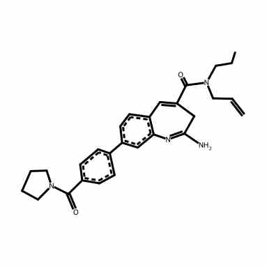 C=CCN(CCC)C(=O)C1=Cc2ccc(-c3ccc(C(=O)N4CCCC4)cc3)cc2N=C(N)C1